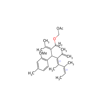 C=C(OCOC(C)=O)C(=C(C)C)C(/C(C(=C)C)=C(C)/C(C)=C\C)c1ccc(C)cc1OC